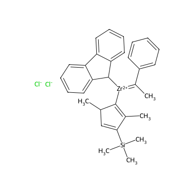 CC1=[C](/[Zr+2](=[C](\C)c2ccccc2)[CH]2c3ccccc3-c3ccccc32)C(C)C=C1[Si](C)(C)C.[Cl-].[Cl-]